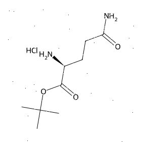 CC(C)(C)OC(=O)[C@@H](N)CCC(N)=O.Cl